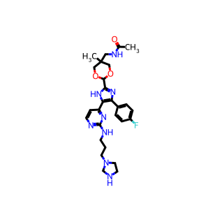 CC(=O)NCC1(C)COC(c2nc(-c3ccc(F)cc3)c(-c3ccnc(NCCCN4CCNC4)n3)[nH]2)OC1